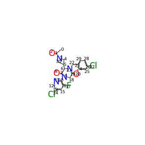 CC(=O)N1CC(C2C(=O)N(c3ncc(Cl)cc3F)CC(=O)N2Cc2ccc(Cl)cc2)C1